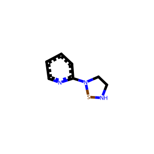 c1ccc(N2CCNS2)nc1